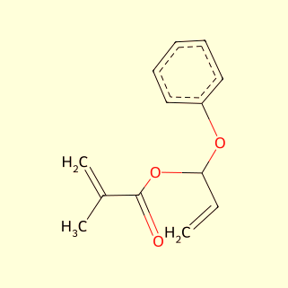 C=CC(OC(=O)C(=C)C)Oc1ccccc1